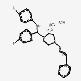 Cl.Cl.Fc1ccc(NC(c2ccc(F)cc2)C2CCN(C/C=C/c3ccccc3)CC2)cc1.O